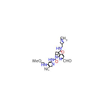 COCCNc1cc(NC(=O)N2c3nc(C=O)ccc3C3(C(=O)NCC4CN(C)C4)CC2C3)ncc1C#N